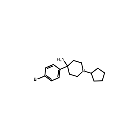 NC1(c2ccc(Br)cc2)CCN(C2CCCC2)CC1